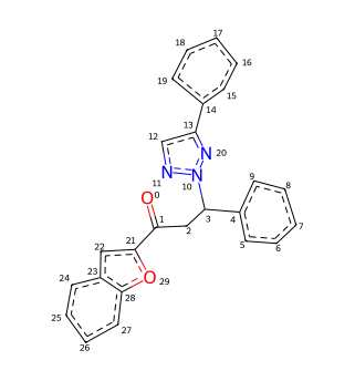 O=C(CC(c1ccccc1)n1ncc(-c2ccccc2)n1)c1cc2ccccc2o1